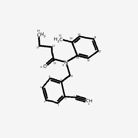 C#Cc1ccccc1CN(C(=O)CCC)c1ccccc1C